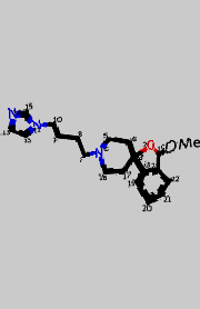 COC1OC2(CCN(CCCCn3ccnc3)CC2)c2ccccc21